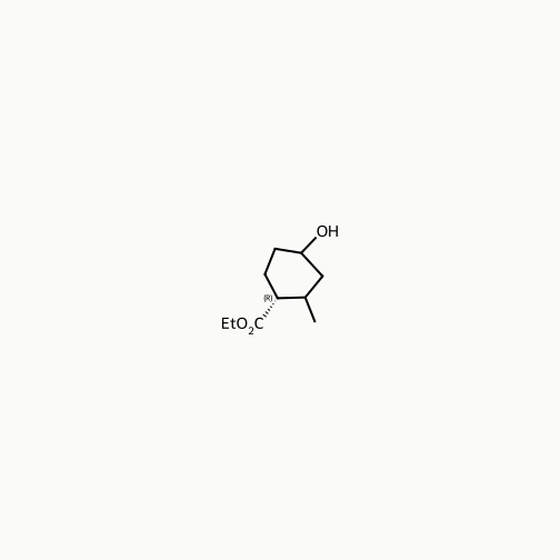 CCOC(=O)[C@@H]1CCC(O)CC1C